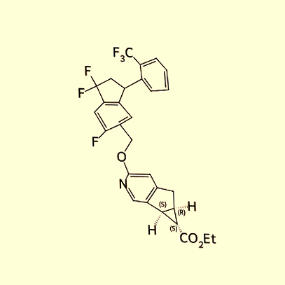 CCOC(=O)[C@H]1[C@@H]2Cc3cc(OCc4cc5c(cc4F)C(F)(F)CC5c4ccccc4C(F)(F)F)ncc3[C@@H]21